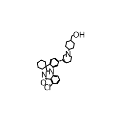 O=c1nc2n(c3cccc(Cl)c13)-c1cc([C@@H]3CCCN(C4CCC(CO)CC4)C3)ccc1C21CCCCC1